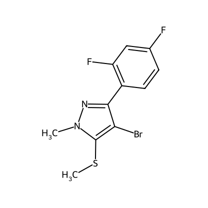 CSc1c(Br)c(-c2ccc(F)cc2F)nn1C